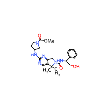 COC(=O)N1CC[C@H](Nc2ncc3c(n2)CN(C(=O)N[C@H](CO)c2ccccc2)C3(C)C)C1